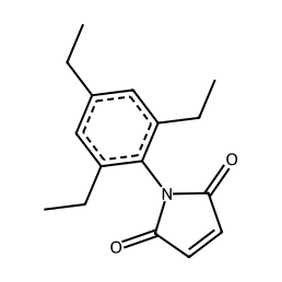 CCc1cc(CC)c(N2C(=O)C=CC2=O)c(CC)c1